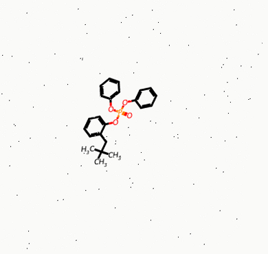 CC(C)(C)Cc1ccccc1OP(=O)(Oc1ccccc1)Oc1ccccc1